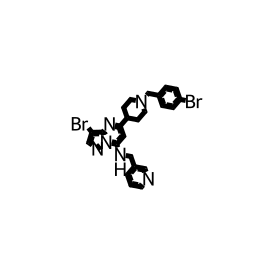 Brc1ccc(CN2CCC(c3cc(NCc4cccnc4)n4ncc(Br)c4n3)CC2)cc1